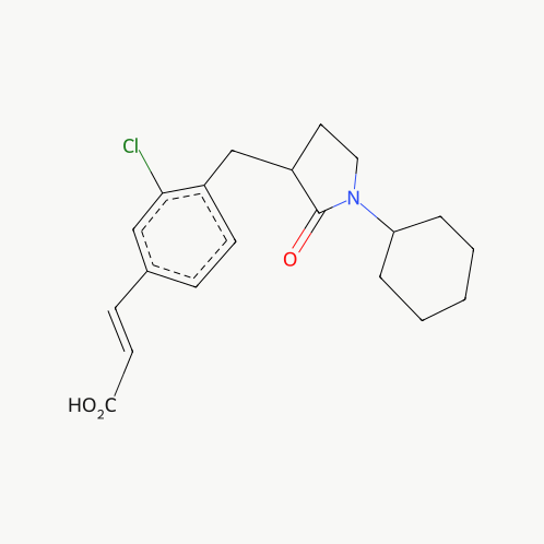 O=C(O)C=Cc1ccc(CC2CCN(C3CCCCC3)C2=O)c(Cl)c1